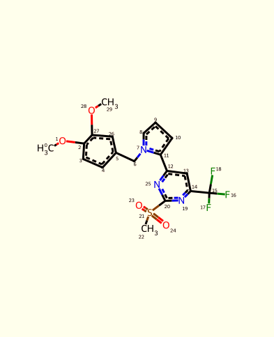 COc1ccc(Cn2cccc2-c2cc(C(F)(F)F)nc(S(C)(=O)=O)n2)cc1OC